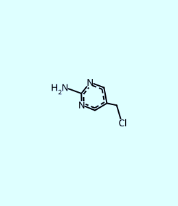 Nc1ncc(CCl)cn1